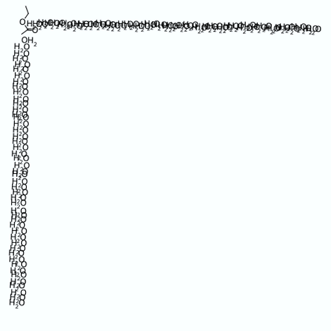 CCOC(C)=O.O.O.O.O.O.O.O.O.O.O.O.O.O.O.O.O.O.O.O.O.O.O.O.O.O.O.O.O.O.O.O.O.O.O.O.O.O.O.O.O.O.O.O.O.O.O.O.O.O.O.O.O.O.O.O.O.O.O.O.O.O.O.O.O.O.O.O.O.O.O.O.O.O.O.O.O.O.O.O.O.O.O.O.O.O.O.O.O.O.O.O.O.O.O.O.O.O.O.O